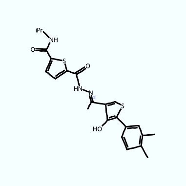 C/C(=N\NC(=O)c1ccc(C(=O)NC(C)C)s1)c1csc(-c2ccc(C)c(C)c2)c1O